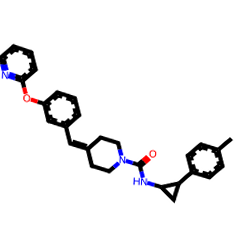 Cc1ccc(C2CC2NC(=O)N2CCC(=Cc3cccc(Oc4ccccn4)c3)CC2)cc1